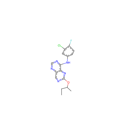 CCC(C)Oc1ncc2ncnc(Nc3ccc(F)c(Cl)c3)c2n1